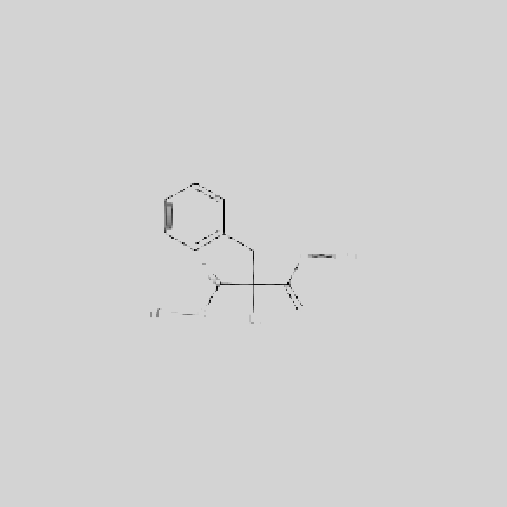 CCCCOC(=O)C(CC)(Cc1ccccc1)C(=O)OCCCC